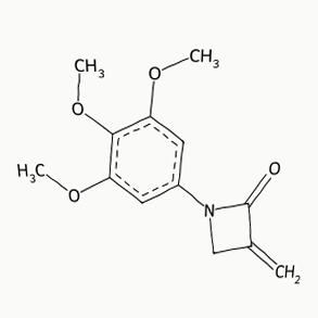 C=C1CN(c2cc(OC)c(OC)c(OC)c2)C1=O